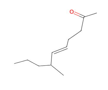 CCCC(C)C=CCCC(C)=O